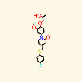 C=C(O)COc1ccc(-n2ccc(CSc3ccc(F)cc3)cc2=O)cc1OC